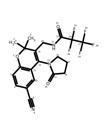 CC1(C)Oc2ccc(C#N)cc2C(N2CCCC2=O)=C1CNC(=O)C(F)(F)C(F)(F)F